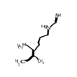 C=C(C)C(N)CCCNC=N